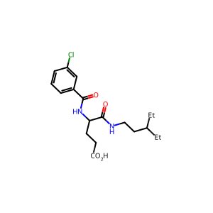 CCC(CC)CCNC(=O)C(CCC(=O)O)NC(=O)c1cccc(Cl)c1